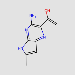 C=C(O)c1nc2cc(C)[nH]c2nc1N